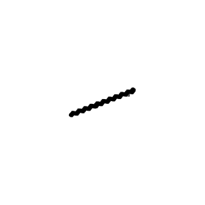 C=CC[C]CCCCCCCCC=CCCCCCCCC